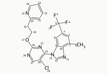 Cc1cc(C(F)(F)F)cc2c1ncn2-c1nc(OCCc2ccccn2)ncc1Cl